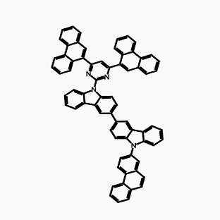 c1ccc2c(c1)ccc1cc(-n3c4ccccc4c4cc(-c5ccc6c(c5)c5ccccc5n6-c5nc(-c6cc7ccccc7c7ccccc67)cc(-c6cc7ccccc7c7ccccc67)n5)ccc43)ccc12